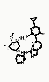 CO[C@H]1[C@H](N)C[C@H](c2ccncc2Nc2ncc3ccc(-c4c(F)cc(C5CC5)cc4F)nn23)C[C@@H]1C